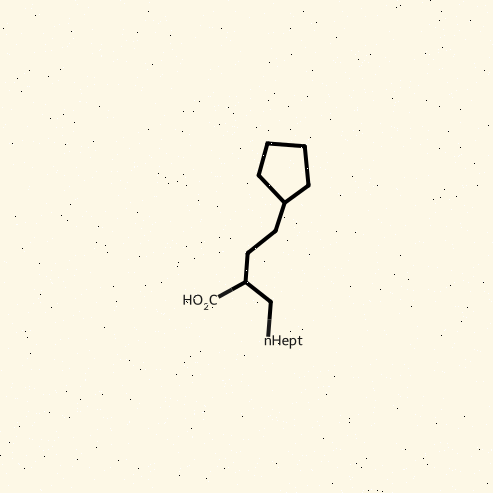 CCCCCCCCC(CCC1CCCC1)C(=O)O